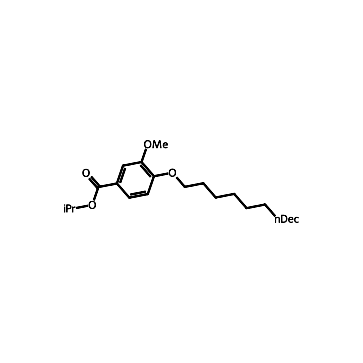 CCCCCCCCCCCCCCCCOc1ccc(C(=O)OC(C)C)cc1OC